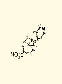 O=C(O)N1CCC2(CCN(c3ccncc3)C2)C1